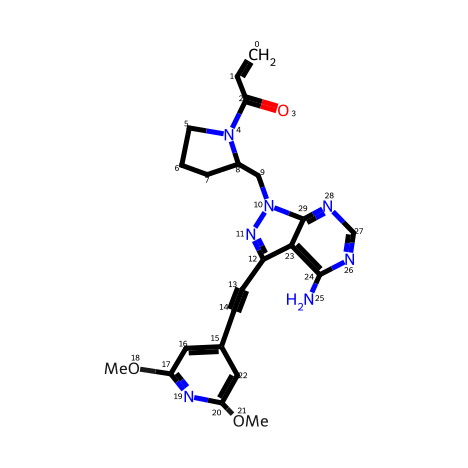 C=CC(=O)N1CCCC1Cn1nc(C#Cc2cc(OC)nc(OC)c2)c2c(N)ncnc21